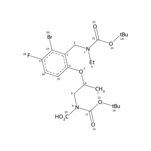 CCN(Cc1c(OC(C)CN(C(=O)O)C(=O)OC(C)(C)C)ccc(F)c1Br)C(=O)OC(C)(C)C